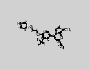 Cn1ccc2c(-c3cnc(OCCO[C@H]4CCNC4)c(C(F)(F)F)c3)nc(C#N)nc21